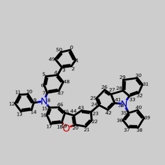 c1ccc(-c2ccc(N(c3ccccc3)c3ccc4oc5ccc(-c6ccc7c8ccccc8n(-c8ccccc8)c7c6)cc5c4c3)cc2)cc1